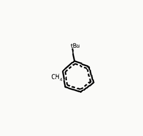 C.CC(C)(C)c1ccccc1